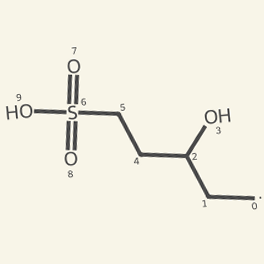 [CH2]CC(O)CCS(=O)(=O)O